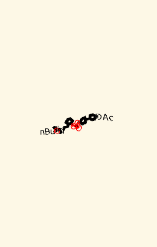 CCCC[Si](C)(C)O[Si](C)(C)CCCc1ccccc1OC(=O)Oc1ccc(-c2ccc(OC(C)=O)cc2)cc1